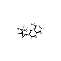 CC1(S(N)(=O)=O)CC1c1ccc2cncc(Cl)c2c1